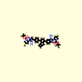 CC(C)(C)OC(=O)N1C[C@@H](F)C[C@H]1c1ncc(-c2ccc(-c3ccc(-c4ccc5nc([C@@H]6C[C@H](F)CN6C(=O)OC(C)(C)C)[nH]c5c4)c4c3C3CCC3C4)cc2)[nH]1